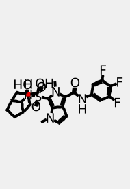 Cn1c(C(=O)Nc2cc(F)c(F)c(F)c2)c2ccn(C)c2c1S(=O)(=O)NC1C2CCC1CC(O)(CO)C2